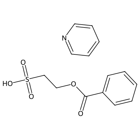 O=C(OCCS(=O)(=O)O)c1ccccc1.c1ccncc1